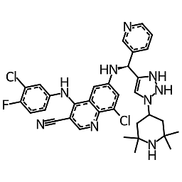 CC1(C)CC(N2C=C([C@@H](Nc3cc(Cl)c4ncc(C#N)c(Nc5ccc(F)c(Cl)c5)c4c3)c3cccnc3)NN2)CC(C)(C)N1